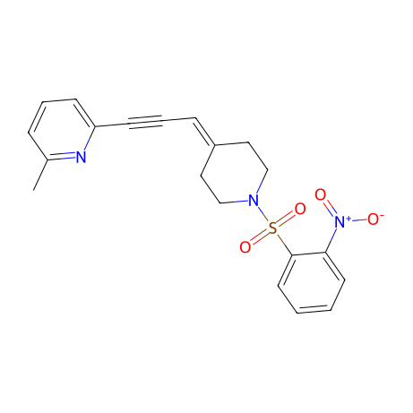 Cc1cccc(C#CC=C2CCN(S(=O)(=O)c3ccccc3[N+](=O)[O-])CC2)n1